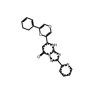 O=c1cc(C2=COC=C(C3=CC=CCC3)O2)[nH]c2nc(-c3ccccn3)nn12